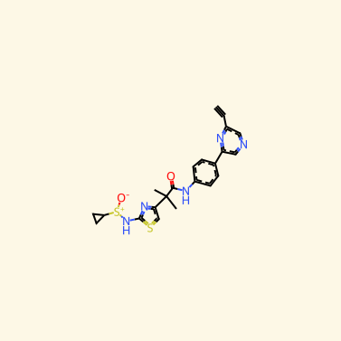 C#Cc1cncc(-c2ccc(NC(=O)C(C)(C)c3csc(N[S+]([O-])C4CC4)n3)cc2)n1